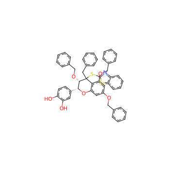 Oc1ccc([C@H]2Oc3cc(OCc4ccccc4)cc(OCc4ccccc4)c3C(Cc3ccccc3)(Sc3nc4ccccc4s3)[C@H]2OCc2ccccc2)cc1O